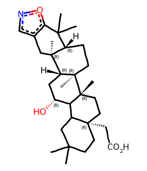 CC1(C)CC[C@]2(CC(=O)O)CC[C@]3(C)C(C2C1)[C@H](O)C[C@@H]1[C@@]2(C)Cc4cnoc4C(C)(C)[C@@H]2CC[C@]13C